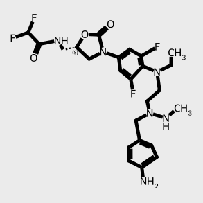 CCN(CCN(Cc1ccc(N)cc1)NC)c1c(F)cc(N2C[C@H](CNC(=O)C(F)F)OC2=O)cc1F